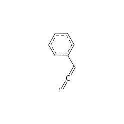 [C]=C=Cc1ccccc1